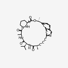 CC1NC(=O)[C@H](C(C)C)NC(=O)[C@H](C)CCCc2cc3cc(ccc3cn2)[C@@H](C)OC(=O)[C@@H]2CCCN(N2)C1=O